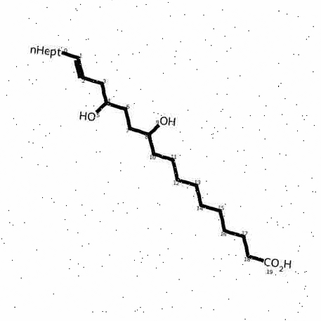 CCCCCCCC=CCC(O)CCC(O)CCCCCCCCCC(=O)O